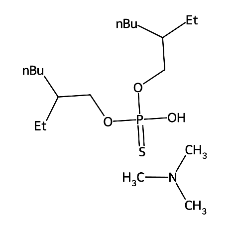 CCCCC(CC)COP(O)(=S)OCC(CC)CCCC.CN(C)C